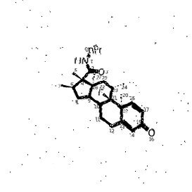 CCCNC(=O)[C@@]1(C)[C@H](C)CC2C3CCC4=CC(=O)C=C[C@]4(C)[C@@]3(F)[C@@H](C)C[C@@]21C